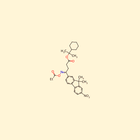 CCC(=O)O/N=C(/CCC(=O)OC(C)(C)C1CCCCC1)c1ccc2c(c1)C(C)(C)c1cc([N+](=O)[O-])ccc1-2